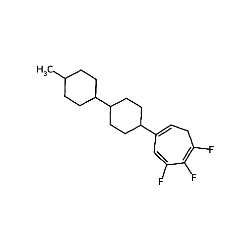 CC1CCC(C2CCC(C3=CCC(F)=C(F)C(F)=C3)CC2)CC1